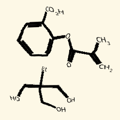 C=C(C)C(=O)Oc1ccccc1C(=O)O.CCC(CO)(CO)CO